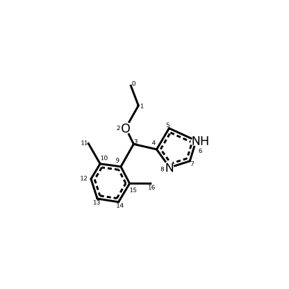 CCOC(c1c[nH]cn1)c1c(C)cccc1C